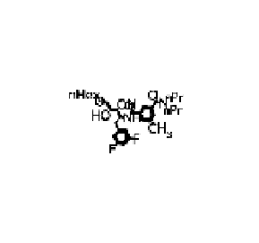 CCCCCCOCC(O)[C@H](O)[C@H](Cc1cc(F)cc(F)c1)NC(=O)c1cc(C)cc(C(=O)N(CCC)CCC)c1